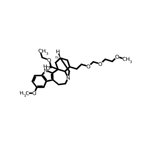 CCOC(=O)C12C[C@@H]3CC(CCOCOCCOC)C1N(CCc1c2[nH]c2ccc(OC)cc12)C3